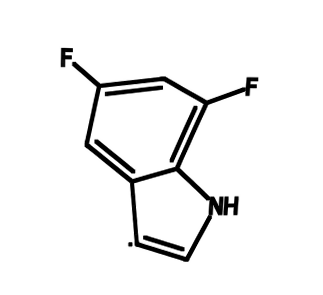 Fc1cc(F)c2[nH]c[c]c2c1